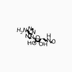 Nc1ncnc2c1ncn2[C@@H]1O[C@H](CCNC=O)[C@@H](O)[C@H]1O